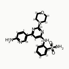 Nc1ccc(-c2cc(Nc3ccccc3S(N)(=O)=O)nc(N3CCOCC3)n2)cn1